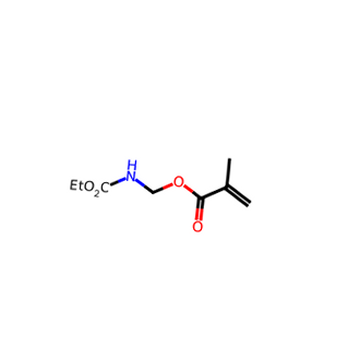 C=C(C)C(=O)OCNC(=O)OCC